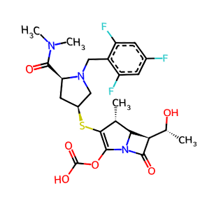 C[C@H]1C(S[C@H]2C[C@@H](C(=O)N(C)C)N(Cc3c(F)cc(F)cc3F)C2)=C(OC(=O)O)N2C(=O)[C@H]([C@@H](C)O)C12